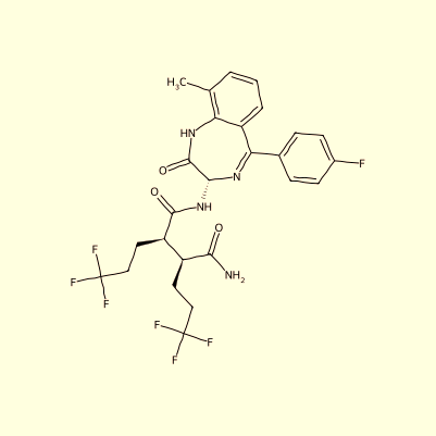 Cc1cccc2c1NC(=O)[C@@H](NC(=O)[C@H](CCC(F)(F)F)[C@H](CCC(F)(F)F)C(N)=O)N=C2c1ccc(F)cc1